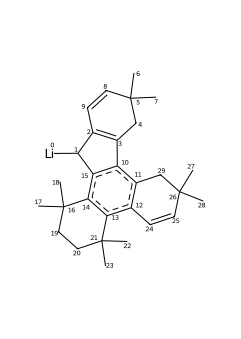 [Li][CH]1C2=C(CC(C)(C)C=C2)c2c3c(c4c(c21)C(C)(C)CCC4(C)C)C=CC(C)(C)C3